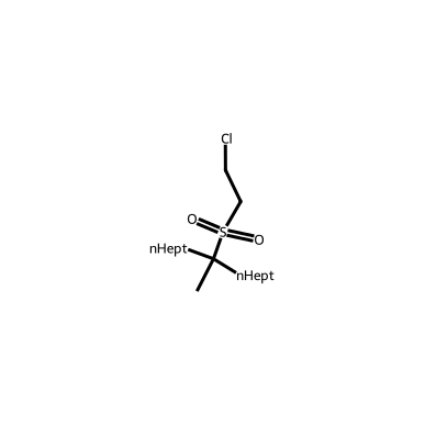 CCCCCCCC(C)(CCCCCCC)S(=O)(=O)CCCl